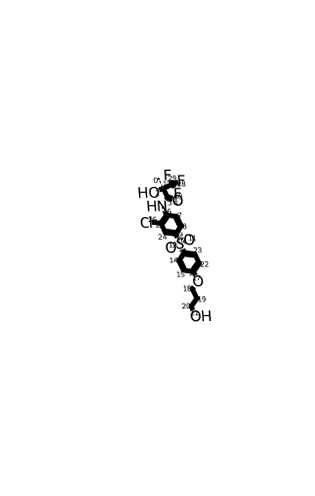 C[C@@](O)(C(=O)Nc1ccc(S(=O)(=O)c2ccc(OCCCO)cc2)cc1Cl)C(F)(F)F